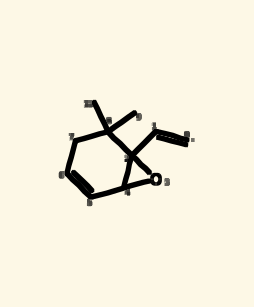 [CH]=CC12OC1C=CCC2(C)C